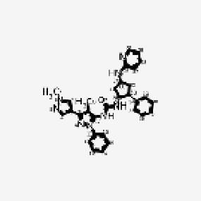 Cc1c(-c2cnn(C)c2)nn(-c2ccccc2)c1NC(=O)N[C@@H]1C[C@@H](Nc2ccccn2)C[C@H]1c1ccccc1